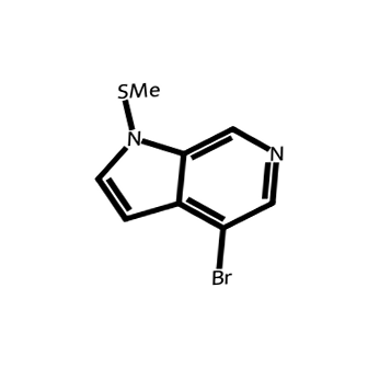 CSn1ccc2c(Br)cncc21